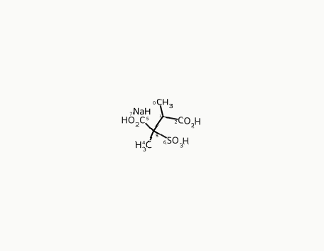 CC(C(=O)O)C(C)(C(=O)O)S(=O)(=O)O.[NaH]